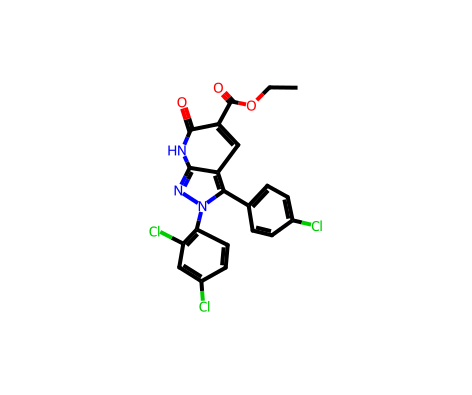 CCOC(=O)c1cc2c(-c3ccc(Cl)cc3)n(-c3ccc(Cl)cc3Cl)nc2[nH]c1=O